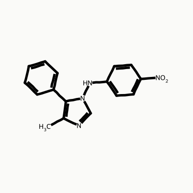 Cc1ncn(Nc2ccc([N+](=O)[O-])cc2)c1-c1ccccc1